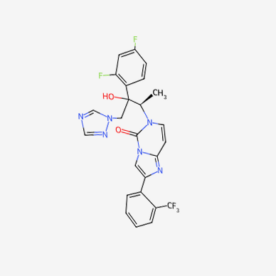 C[C@@H](n1ccc2nc(-c3ccccc3C(F)(F)F)cn2c1=O)C(O)(Cn1cncn1)c1ccc(F)cc1F